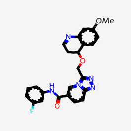 COc1ccc2c(c1)N=CCC2OCc1nnc2ccc(C(=O)Nc3cccc(F)c3)cn12